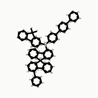 CC1(C)c2ccccc2-c2ccc(N(c3ccc(-c4ccc(-c5ccccc5)cc4)cc3)c3cccc4c3-c3ccccc3C43c4ccccc4-c4c(-c5ccccc5)cccc43)cc21